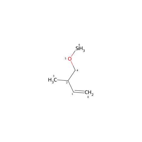 C=CC(C)CO[SiH3]